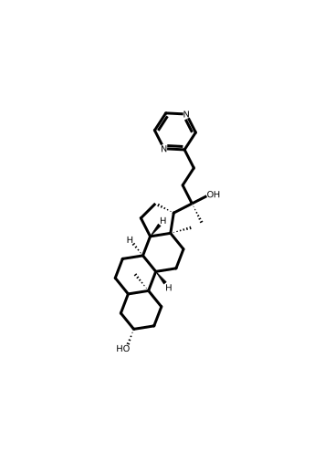 C[C@]12CC[C@H]3[C@@H](CCC4C[C@@H](O)CC[C@@]43C)[C@@H]1CC[C@@H]2[C@](C)(O)CCc1cnccn1